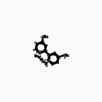 CC(C)(C)c1ccnc(-c2cc(C(C)(C)C)ccn2)c1.[Br][Ni][Br]